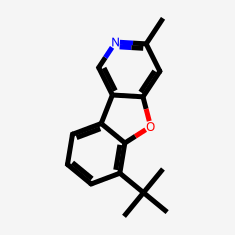 Cc1cc2oc3c(C(C)(C)C)cccc3c2cn1